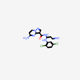 N=C/C=C(/NC(=O)c1cnn2ccc(N)nc12)Nc1cc(Cl)ccc1Cl